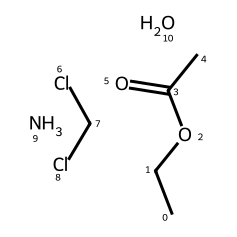 CCOC(C)=O.ClCCl.N.O